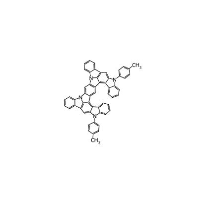 Cc1ccc(-n2c3ccccc3c3c4c5cc6c7c8c9ccccc9n(-c9ccc(C)cc9)c8cc8c9ccccc9n(c6cc5n5c6ccccc6c(cc32)c45)c87)cc1